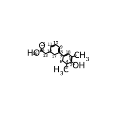 CC1=C(O)C(C)CC(C2=CC=CC(CC(=O)O)C2)=C1